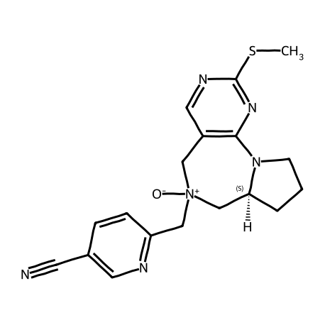 CSc1ncc2c(n1)N1CCC[C@H]1C[N+]([O-])(Cc1ccc(C#N)cn1)C2